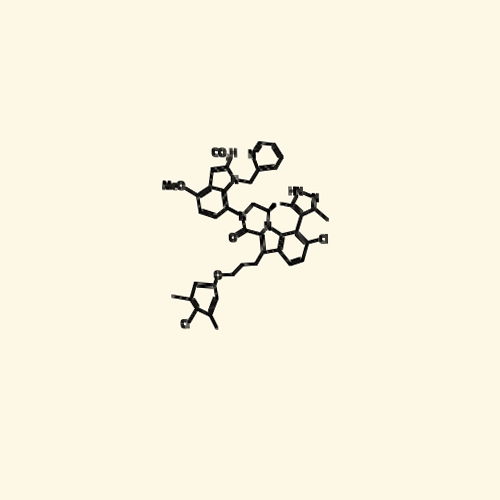 COc1ccc(N2C[C@@H](C)n3c(c(CCCOc4cc(C)c(Cl)c(C)c4)c4ccc(Cl)c(-c5c(C)n[nH]c5C)c43)C2=O)c2c1cc(C(=O)O)n2Cc1ccccn1